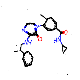 Cc1ccc(C(=O)NC2CC2)cc1-n1ccnc(NC[C@H](C)c2ccccc2)c1=O